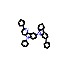 c1ccc(-c2ccc3c4ccccc4n(-c4ccc5c(c4)c4nc(-c6ccccc6)ccc4n5-c4ccccc4)c3c2)cc1